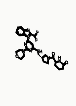 O=C1CCCC(C(=O)N2CC[C@H](CNc3cc(-n4c(C(F)F)nc5ccccc54)nc(N4CCOCC4)n3)C2)N1